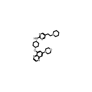 c1cnc2c(O[C@H]3CC[C@@H](Nc4ncc(CCN5CCCCC5)cn4)CC3)cc(N3CCOCC3)cc2n1